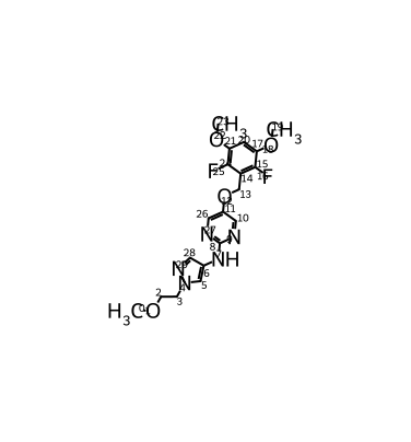 COCCn1cc(Nc2ncc(OCc3c(F)c(OC)cc(OC)c3F)cn2)cn1